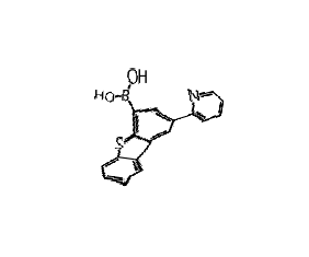 OB(O)c1cc(-c2ccccn2)cc2c1sc1ccccc12